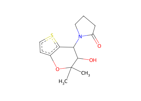 CC1(C)Oc2ccsc2C(N2CCCC2=O)C1O